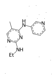 CCNc1ncc(C)c(Nc2cccnc2)n1